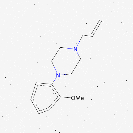 C=CCN1CCN(c2ccccc2OC)CC1